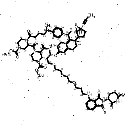 CC#C[C@]12CC[C@H]3[C@@H]4CCC5=CC(=O)CCC5=C4[C@@H](c4ccc(N(C)CCCC(=O)N5CCN(C(=O)OC(C)(C)C)CC5C(=O)N5CCN(C(=O)OC(C)(C)C)CC5C(=O)N(C)CCCOCCOCCOCCCNc5cccc6c5C(=O)N(C5CCC(=O)NC5=O)C6=O)cc4)C[C@@]31O2